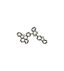 c1cc(-c2nc(-c3ccc4c(c3)sc3ccccc34)nc3ccccc23)cc(-c2cccc3ccc4c5ccccc5oc4c23)c1